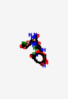 COc1cc2cc(c1Cl)N(C)C(=O)C[C@H](OC(=O)Nc1ccc(NC(=O)[C@H](CCCNC(N)=O)NC(=O)[C@@H](NC(C=O)CCCC(C)(C)OC(C=O)(CBr)CBr)C(C)C)c(C(F)(F)F)c1)[C@]1(C)O[C@H]1[C@H](C)[C@@H]1C[C@@](O)(NC(=O)O1)[C@H](OC)/C=C/C=C(\C)C2